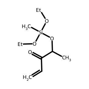 C=CC(=O)C(C)O[Si](C)(OCC)OCC